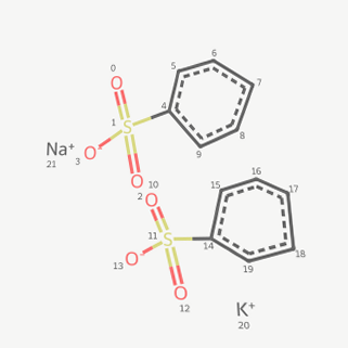 O=S(=O)([O-])c1ccccc1.O=S(=O)([O-])c1ccccc1.[K+].[Na+]